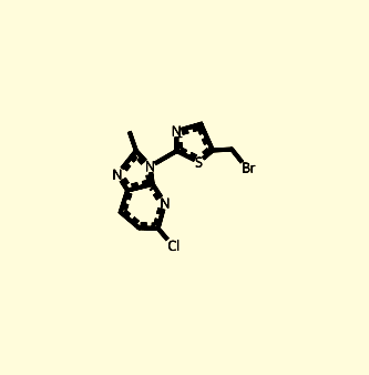 Cc1nc2ccc(Cl)nc2n1-c1ncc(CBr)s1